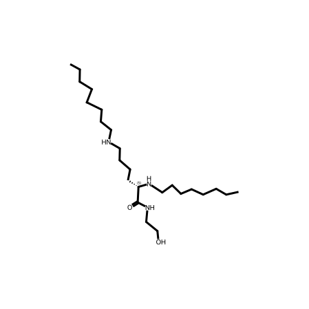 CCCCCCCCNCCCC[C@H](NCCCCCCCC)C(=O)NCCO